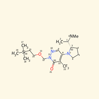 CNC(C)[C@@H]1CCCN1c1cnn(COCC[Si](C)(C)C)c(=O)c1C(F)(F)F